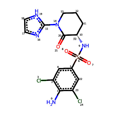 Nc1c(Cl)cc(S(=O)(=O)N[C@H]2CCCN(c3ncc[nH]3)C2=O)cc1Cl